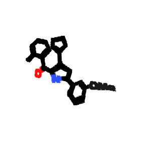 COc1cccc(C2=NC(C(=O)c3ccccc3C)C(C3=CC=CC3)C2)c1